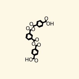 O=C(O)c1ccc(C(=O)OC(=O)c2cccc(C(=O)OC(=O)c3ccc(C(=O)O)cc3)c2)cc1